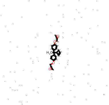 CC(c1ccc(OCC2CO2)cc1)(c1ccc(OCC2CO2)cc1)C1C#CC1